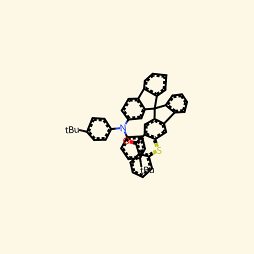 CC(C)(C)c1ccc(N(c2ccc(C(C)(C)C)cc2)c2ccc3c(c2)C2(c4ccccc4-3)c3ccccc3-c3cc4sc5ccccc5c(=O)c4cc32)cc1